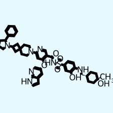 C[C@]1(O)CC[C@H](CNc2ccc(S(=O)(=O)NC(=O)c3cnc(N4CCC5(CC4)CC(N4CCCC4c4ccccc4)C5)cc3Oc3cnc4[nH]ccc4c3)cc2O)CC1